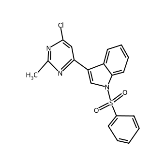 Cc1nc(Cl)cc(-c2cn(S(=O)(=O)c3ccccc3)c3ccccc23)n1